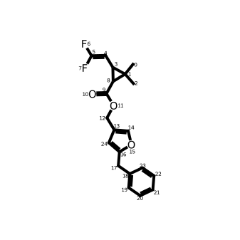 CC1(C)C(C=C(F)F)C1C(=O)OCc1coc(Cc2ccccc2)c1